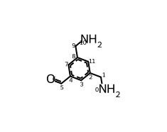 NCc1cc(C=O)cc(CN)c1